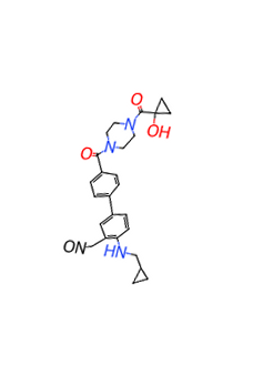 O=NCc1cc(-c2ccc(C(=O)N3CCN(C(=O)C4(O)CC4)CC3)cc2)ccc1NCC1CC1